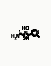 Cc1cc(-c2nsc([C@@H](C)N)n2)ccn1.Cl